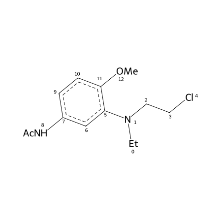 CCN(CCCl)c1cc(NC(C)=O)ccc1OC